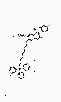 COc1cc2c(N[C@H](C)c3cccc(Br)c3)nc(C)nc2cc1OCCCCCCCOC(c1ccccc1)(c1ccccc1)c1ccccc1